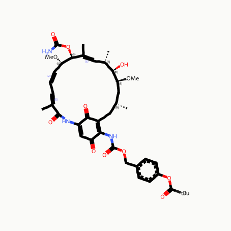 CO[C@H]1/C=C\C=C(/C)C(=O)NC2=CC(=O)C(NC(=O)OCc3ccc(OC(=O)C(C)(C)C)cc3)=C(C[C@@H](C)C[C@H](OC)[C@H](O)[C@@H](C)/C=C(\C)[C@@H]1OC(N)=O)C2=O